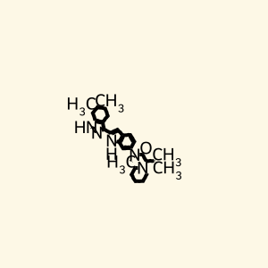 CC(C)C(C(=O)N(C)c1ccc2cc(-c3n[nH]c4c3CCC(C)(C)C4)[nH]c2c1)N1CCCCC1